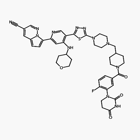 N#Cc1cnn2c(-c3cc(NC4CCOCC4)c(-c4nnc(N5CCN(CC6CCN(C(=O)c7ccc(F)c(N8CCC(=O)NC8=O)c7)CC6)CC5)s4)cn3)ccc2c1